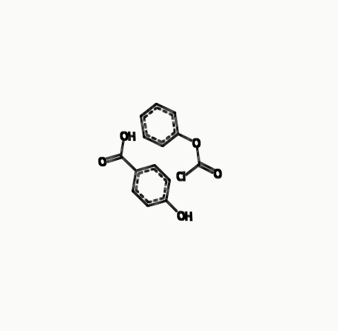 O=C(Cl)Oc1ccccc1.O=C(O)c1ccc(O)cc1